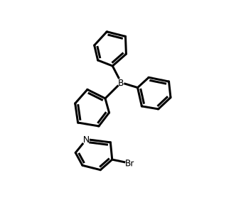 Brc1cccnc1.c1ccc(B(c2ccccc2)c2ccccc2)cc1